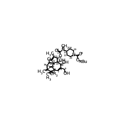 CC1=C[C@]23C(=O)[C@@H](C=C(CO)[C@@H](O)[C@]2(O)[C@H]1OC(=O)N(C)C1CCN(C(=O)OC(C)(C)C)CC1)C(C)(C)[C@@H](C)C[C@H]3C